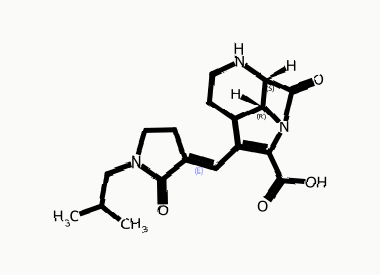 CC(C)CN1CC/C(=C\C2=C(C(=O)O)N3C(=O)[C@H]4NCCC2[C@H]43)C1=O